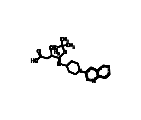 CC(CC(=O)O)C(=NC1CCN(c2cnc3ccccc3c2)CC1)OC(C)(C)C